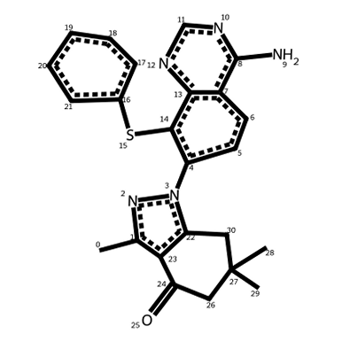 Cc1nn(-c2ccc3c(N)ncnc3c2Sc2ccccc2)c2c1C(=O)CC(C)(C)C2